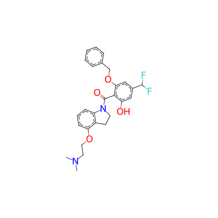 CN(C)CCOc1cccc2c1CCN2C(=O)c1c(O)cc(C(F)F)cc1OCc1ccccc1